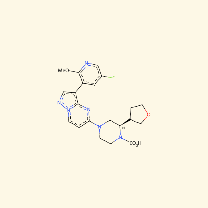 COc1ncc(F)cc1-c1cnn2ccc(N3CCN(C(=O)O)[C@H](C4CCOC4)C3)nc12